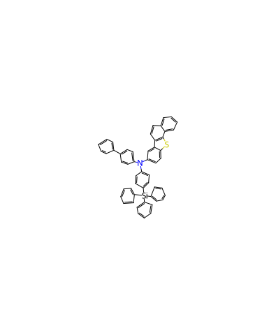 c1ccc(-c2ccc(N(c3ccc([Si](c4ccccc4)(c4ccccc4)c4ccccc4)cc3)c3ccc4sc5c6ccccc6ccc5c4c3)cc2)cc1